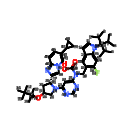 CC(C)[Si](C(C)C)(C(C)C)n1ccc2cc(CN(C(=O)O)c3cc(N4C[C@@H](O[Si](C)(C)C(C)(C)C)C[C@@H]4c4cn5cc(C6CC6)ccc5n4)ncn3)c(F)cc21